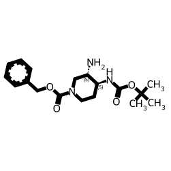 CC(C)(C)OC(=O)N[C@H]1CCN(C(=O)OCc2ccccc2)C[C@@H]1N